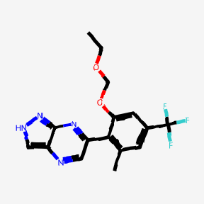 CCOCOc1cc(C(F)(F)F)cc(C)c1-c1cnc2c[nH]nc2n1